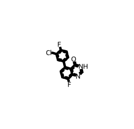 O=c1[nH]cnc2c(F)ccc(-c3ccc(F)c(Cl)c3)c12